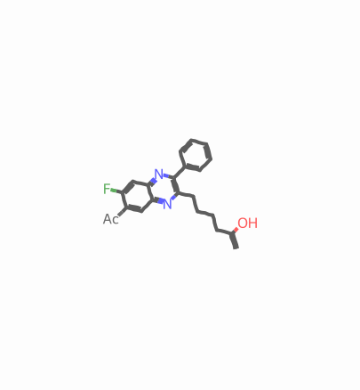 C=C(O)CCCCc1nc2cc(C(C)=O)c(F)cc2nc1-c1ccccc1